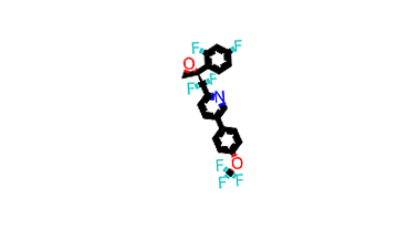 Fc1ccc([C@]2(C(F)(F)c3ccc(-c4ccc(OC(F)(F)F)cc4)cn3)CO2)c(F)c1